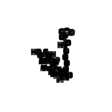 CC[C@H](C)[C@@H]([C@@H](CC(=O)N1CCC[C@H]1[C@H](OC)[C@@H](C)C(=O)NC(Cc1ccccc1)C(=O)O)OC)N(C)C(=O)[C@@H](NC(=O)[C@H](C(C)C)N(C)C(=O)CCOCCOCCOCCOCCNC(=O)CCC(=O)N1Cc2ccccc2C#Cc2ccccc21)C(C)C